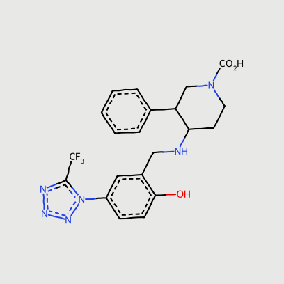 O=C(O)N1CCC(NCc2cc(-n3nnnc3C(F)(F)F)ccc2O)C(c2ccccc2)C1